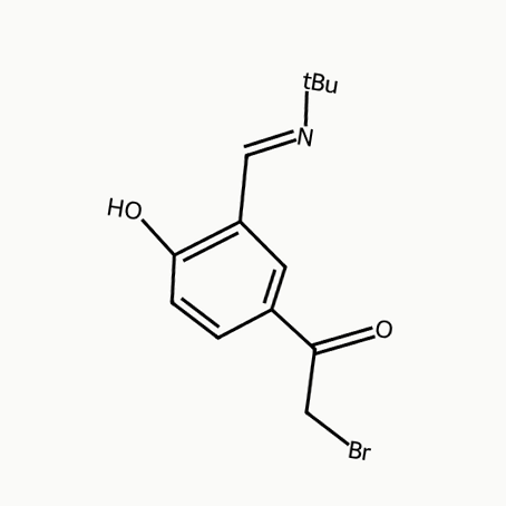 CC(C)(C)/N=C/c1cc(C(=O)CBr)ccc1O